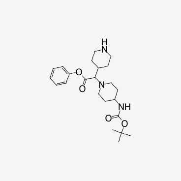 CC(C)(C)OC(=O)NC1CCN(C(C(=O)Oc2ccccc2)C2CCNCC2)CC1